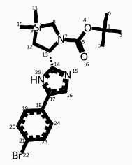 CC(C)(C)OC(=O)N1C[Si](C)(C)C[C@H]1c1ncc(-c2ccc(Br)cc2)[nH]1